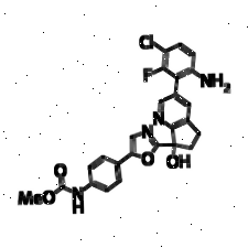 COC(=O)Nc1ccc(-c2cnc(C3(O)CCc4cc(-c5c(N)ccc(Cl)c5F)cnc43)o2)cc1